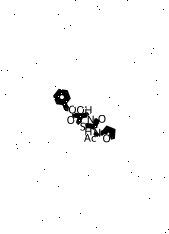 CC(=O)N(c1ccco1)C1C(=O)N2CC(O)(C(=O)OCc3ccccc3)CS[C@H]12